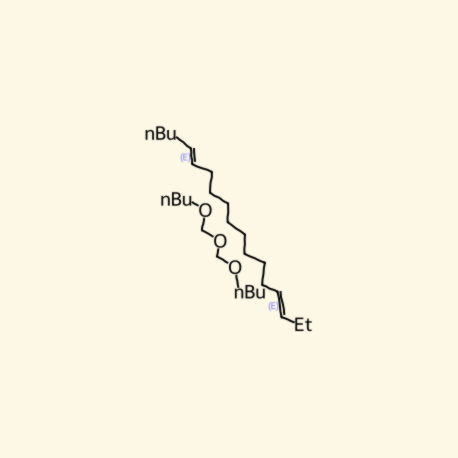 CC/C=C/CCCCCCCC/C=C/CCCC.CCCCOCOCOCCCC